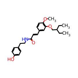 CCC(CC)COc1cc(/C=C/C(=O)NCCc2ccc(O)cc2)ccc1OC